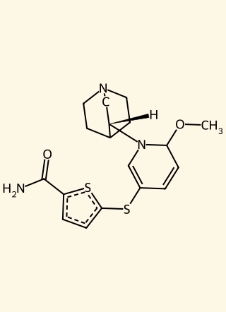 COC1C=CC(Sc2ccc(C(N)=O)s2)=CN1[C@H]1CN2CCC1CC2